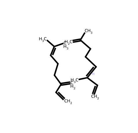 C=C/C(C)=C/CCC(=C)C.C=CC(=C)CCC=C(C)C